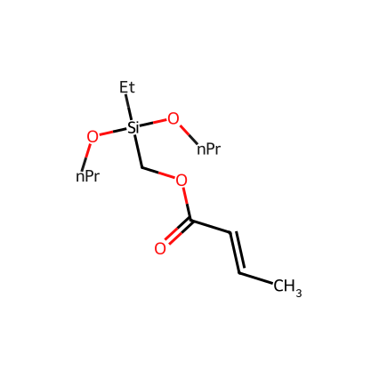 CC=CC(=O)OC[Si](CC)(OCCC)OCCC